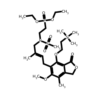 CCOP(=O)(CCN(C/C(C)=C/Cc1c(OC)c(C)c2c(c1OCC[Si](C)(C)C)C(=O)OC2)S(C)(=O)=O)OCC